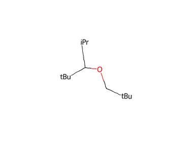 CC(C)C(OCC(C)(C)C)C(C)(C)C